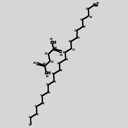 CCCCCCCCCCCCCCCCCCCCC[CH2][Na].O=C(O)CCC(=O)O